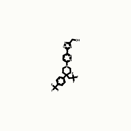 OCc1noc(-c2ccc(N3CCC(CC(F)(F)F)(c4ccc(C(F)(F)F)cc4)CC3)nn2)n1